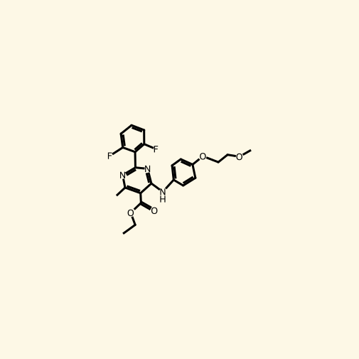 CCOC(=O)c1c(C)nc(-c2c(F)cccc2F)nc1Nc1ccc(OCCOC)cc1